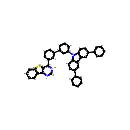 c1ccc(-c2ccc3c(c2)c2cc(-c4ccccc4)ccc2n3-c2cccc(-c3cccc(-c4ncnc5c4sc4ccccc45)c3)c2)cc1